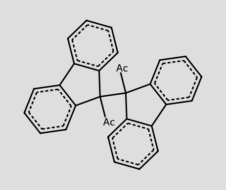 CC(=O)C1(C2(C(C)=O)c3ccccc3-c3ccccc32)c2ccccc2-c2ccccc21